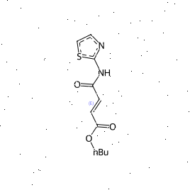 CCCCOC(=O)/C=C/C(=O)Nc1nccs1